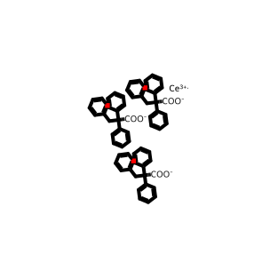 O=C([O-])C(Cc1ccccc1)(c1ccccc1)c1ccccc1.O=C([O-])C(Cc1ccccc1)(c1ccccc1)c1ccccc1.O=C([O-])C(Cc1ccccc1)(c1ccccc1)c1ccccc1.[Ce+3]